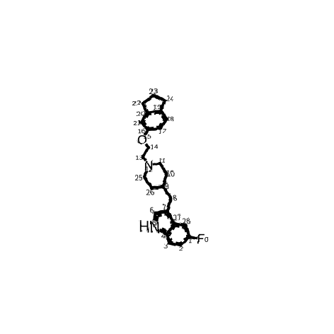 Fc1ccc2[nH]cc(CC3CCN(CCOc4ccc5c(c4)CCC5)CC3)c2c1